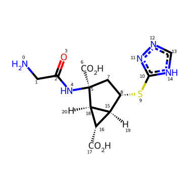 NCC(=O)N[C@@]1(C(=O)O)C[C@H](Sc2nnc[nH]2)[C@H]2[C@H](C(=O)O)[C@H]21